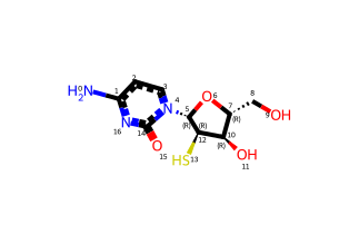 Nc1ccn([C@@H]2O[C@H](CO)[C@@H](O)[C@H]2S)c(=O)n1